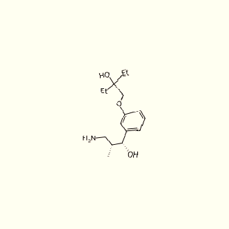 CCC(O)(CC)COc1cccc([C@H](O)[C@H](C)CN)c1